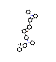 CC1(C)c2ccccc2-c2ccc(N(c3ccccc3)c3ccc(-c4cccc5c4sc4ccc(-c6ccc7c(c6)c6ccccc6n7-c6ccccc6)cc45)cc3)cc21